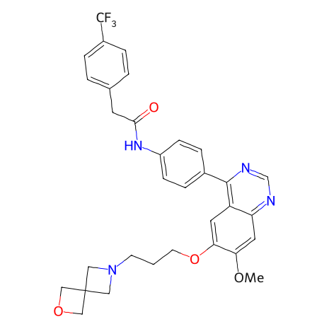 COc1cc2ncnc(-c3ccc(NC(=O)Cc4ccc(C(F)(F)F)cc4)cc3)c2cc1OCCCN1CC2(COC2)C1